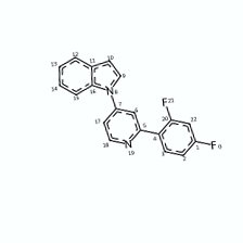 Fc1ccc(-c2cc(-n3ccc4ccccc43)ccn2)c(F)c1